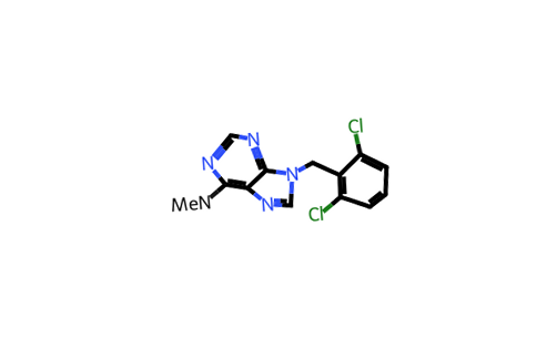 CNc1ncnc2c1ncn2Cc1c(Cl)cccc1Cl